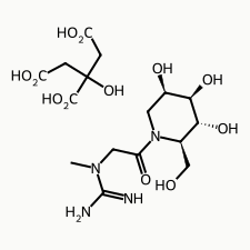 CN(CC(=O)N1C[C@@H](O)[C@@H](O)[C@H](O)[C@H]1CO)C(=N)N.O=C(O)CC(O)(CC(=O)O)C(=O)O